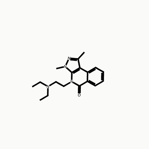 CCN(CC)CCn1c(=O)c2ccccc2c2c(C)nn(C)c21